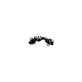 C=C1C[C@H]2C=Nc3cc(OCC(C)(C)CCC(C)(C)CCOc4cc5c(cc4C)C(=O)N4CC(=C)C[C@H]4SN5C)c(OC)cc3C(=O)N2C1